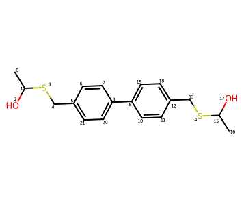 CC(O)SCc1ccc(-c2ccc(CSC(C)O)cc2)cc1